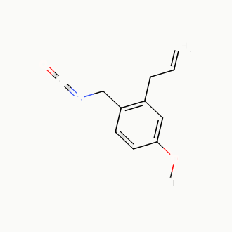 C=CCc1cc(OC(F)(F)F)ccc1CN=C=O